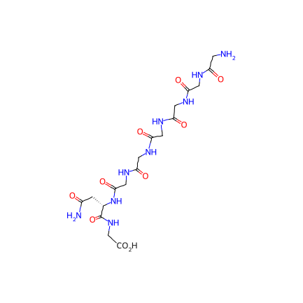 NCC(=O)NCC(=O)NCC(=O)NCC(=O)NCC(=O)NCC(=O)N[C@@H](CC(N)=O)C(=O)NCC(=O)O